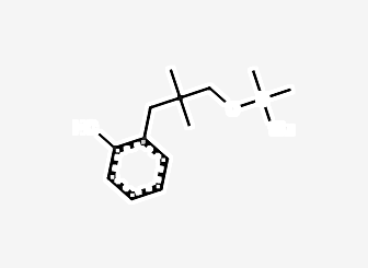 CC(C)(CO[Si](C)(C)C(C)(C)C)Cc1ccccc1O